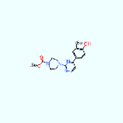 CC(C)(C)OC(=O)N1CCN(c2nccc(-c3ccc(O)c(C(C)(C)C)c3)n2)CC1